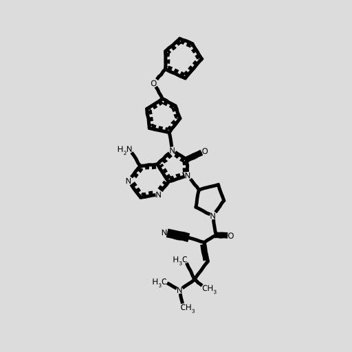 CN(C)C(C)(C)C=C(C#N)C(=O)N1CCC(n2c(=O)n(-c3ccc(Oc4ccccc4)cc3)c3c(N)ncnc32)C1